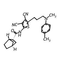 Cc1ccc(N(C)CCCc2sc(NC(=O)[C@@H]3C[C@H]4CC[C@H]3C4)c(C#N)c2C#N)cc1